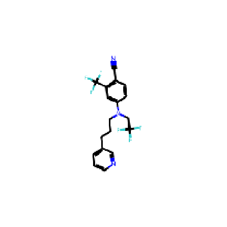 N#Cc1ccc(N(CCCc2cccnc2)CC(F)(F)F)cc1C(F)(F)F